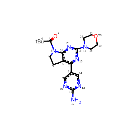 CC(C)(C)C(=O)N1CCc2c(-c3cnc(N)nc3)nc(N3CCOCC3)nc21